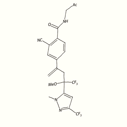 C=C(CC(OC)(c1cc(C(F)(F)F)nn1C)C(F)(F)F)c1ccc(C(=O)NCC(C)=O)c(C#N)c1